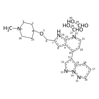 CN1CCC(OCc2cc3c(-c4cnn5ncccc45)ccnc3[nH]2)CC1.O=CO.O=CO